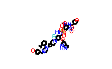 COc1ccc(CN2CCN(C3CC4(CCN(c5cc(Oc6cnc7[nH]ccc7c6)c(C(=O)NS(=O)(=O)c6cc([N+](=O)[O-])c(NCC7CCOCC7)c7c6OCO7)cc5F)CC4)C3)[C@H](c3ccccc3C(C)C)C2)cc1